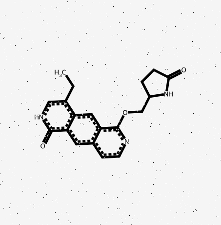 CCc1c[nH]c(=O)c2cc3ccnc(OCC4CCC(=O)N4)c3cc12